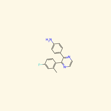 Cc1cc(F)ccc1-c1nccnc1-c1ccc(N)cc1